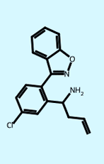 C=CCC(N)c1cc(Cl)ccc1-c1noc2ccccc12